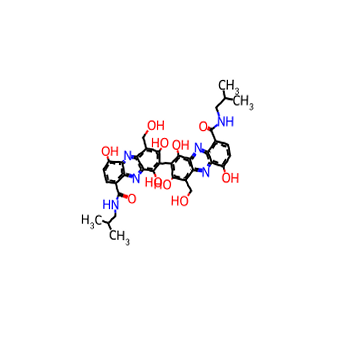 CC(C)CNC(=O)c1ccc(O)c2nc3c(CO)c(O)c(-c4c(O)c(CO)c5nc6c(O)ccc(C(=O)NCC(C)C)c6nc5c4O)c(O)c3nc12